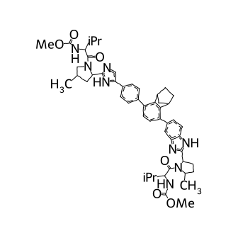 COC(=O)NC(C(=O)N1CC(C)CC1c1ncc(-c2ccc(-c3ccc(-c4ccc5[nH]c(C6CCC(C)N6C(=O)C(NC(=O)OC)C(C)C)nc5c4)c4c3C3CCC4C3)cc2)[nH]1)C(C)C